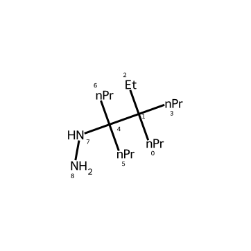 CCCC(CC)(CCC)C(CCC)(CCC)NN